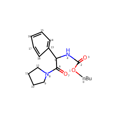 CCCCOC(=O)NC(C(=O)N1CCCC1)c1ccccc1